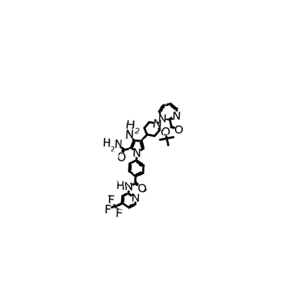 CC(C)(C)OC(=O)C1=NC=CC=CN1N1CCC(c2cn(-c3ccc(C(=O)Nc4cc(C(F)(F)F)ccn4)cc3)c(C(N)=O)c2N)CC1